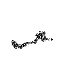 CCOc1cc([C@@H](CS(C)(=O)=O)N2C(=O)c3cccc(NCCc4ccc(CCCCNCc5ccc(OCc6scc7c6CN(C6CCC(=O)NC6=O)C7=O)cc5)cc4)c3C2=O)ccc1OC